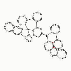 c1ccc(-c2ccccc2N(c2ccc3c(c2)-c2ccccc2-c2ccccc2C32c3ccccc3-c3cc4ccccc4cc32)c2ccc3oc4ccccc4c3c2)cc1